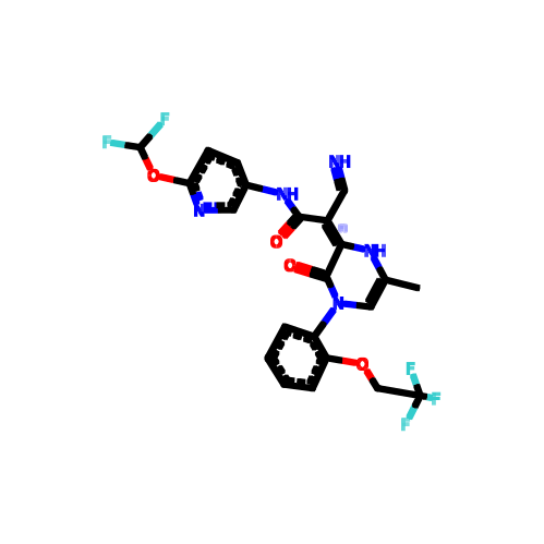 CC1=CN(c2ccccc2OCC(F)(F)F)C(=O)/C(=C(/C=N)C(=O)Nc2ccc(OC(F)F)nc2)N1